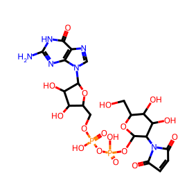 Nc1nc2c(ncn2C2OC(COP(=O)(O)OP(=O)(O)OC3OC(CO)C(O)C(O)C3N3C(=O)C=CC3=O)C(O)C2O)c(=O)[nH]1